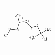 CCC(C)(Cl)CCOC(C)CCCl